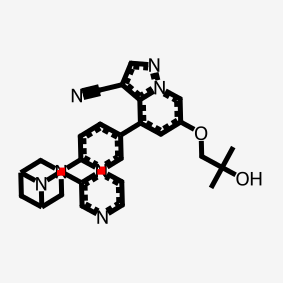 CC(C)(O)COc1cc(-c2ccc(N3CC4CC(C3)N4Cc3cnccn3)nc2)c2c(C#N)cnn2c1